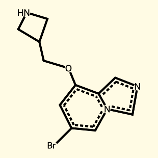 Brc1cc(OCC2CNC2)c2cncn2c1